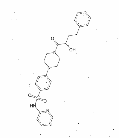 O=C(C(O)CCc1ccccc1)N1CCN(c2ccc(S(=O)(=O)Nc3ccncn3)cc2)CC1